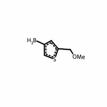 Bc1csc(COC)c1